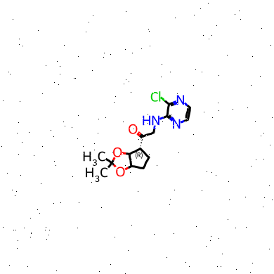 CC1(C)OC2CC[C@@H](C(=O)CNc3nccnc3Cl)C2O1